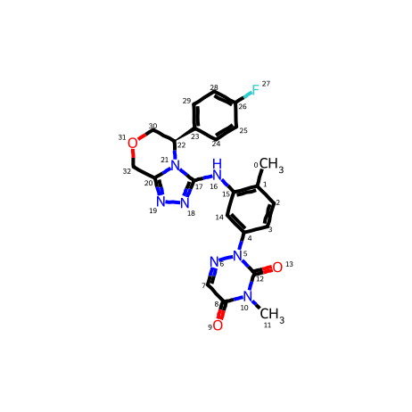 Cc1ccc(-n2ncc(=O)n(C)c2=O)cc1Nc1nnc2n1[C@H](c1ccc(F)cc1)COC2